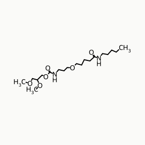 CCCCCNC(=O)CCCCOCCCNC(=O)OCC(COC)OC